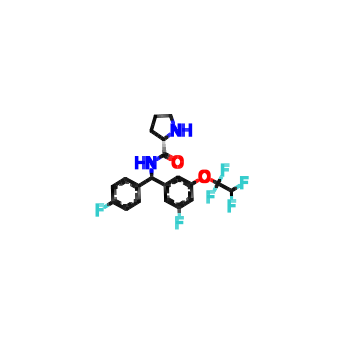 O=C(N[C@H](c1ccc(F)cc1)c1cc(F)cc(OC(F)(F)C(F)F)c1)[C@@H]1CCCN1